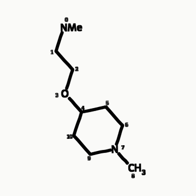 CNCCOC1CCN(C)CC1